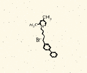 Cc1cc[n+](CCCCCc2ccc(-c3ccccc3)cc2)c(C)c1.[Br-]